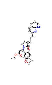 CCOC(=O)C[C@@H](c1ccc2c(c1)OCC2)N1CCC(CCCc2ccc3c(n2)NCCC3)C1=O